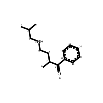 C[C](C)CNCCC(C)C(=O)c1ccccc1